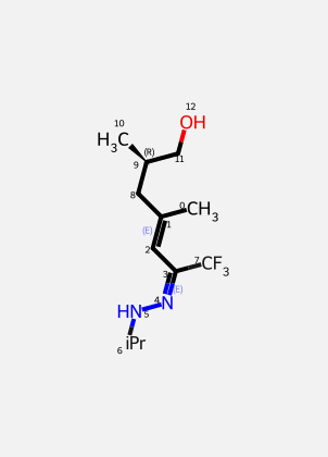 C/C(=C\C(=N/NC(C)C)C(F)(F)F)C[C@@H](C)CO